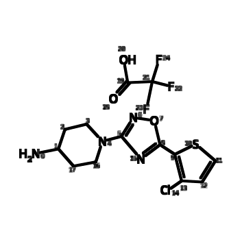 NC1CCN(c2noc(-c3sccc3Cl)n2)CC1.O=C(O)C(F)(F)F